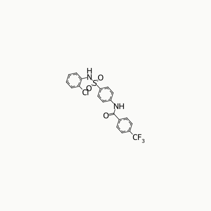 O=C(Nc1ccc(S(=O)(=O)Nc2ccccc2Cl)cc1)c1ccc(C(F)(F)F)cc1